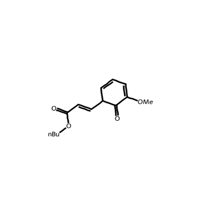 CCCCOC(=O)C=CC1C=CC=C(OC)C1=O